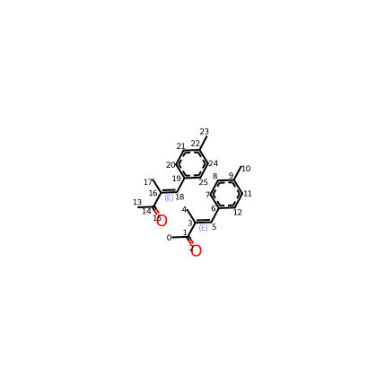 CC(=O)/C(C)=C/c1ccc(C)cc1.CC(=O)/C(C)=C/c1ccc(C)cc1